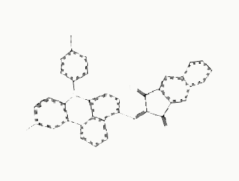 Cc1ccc(N2c3ccc(C)cc3-c3cccc4c(C=C5C(=O)c6cc7ccccc7cc6C5=O)ccc2c34)cc1